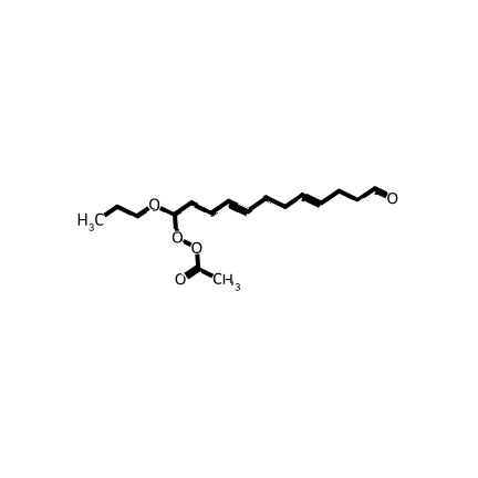 CCCOC(CCC=CCCC=CCCC=O)OOC(C)=O